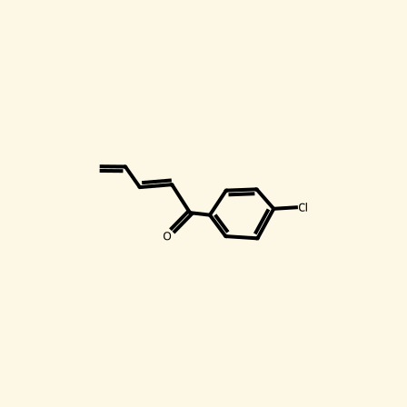 C=CC=CC(=O)c1ccc(Cl)cc1